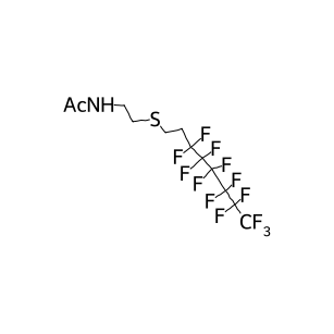 CC(=O)NCCSCCC(F)(F)C(F)(F)C(F)(F)C(F)(F)C(F)(F)C(F)(F)F